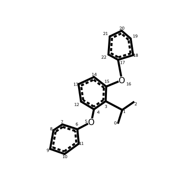 CC(C)c1c(Oc2ccccc2)cccc1Oc1ccccc1